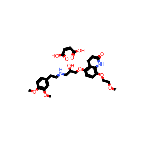 COCCOc1ccc(OCC(O)CNCCc2ccc(OC)c(OC)c2)c2c1NC(=O)CC2.O=C(O)/C=C\C(=O)O